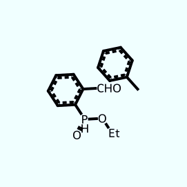 CCO[PH](=O)c1ccccc1C=O.Cc1ccccc1